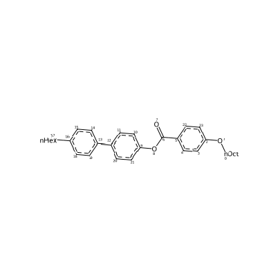 CCCCCCCCOc1ccc(C(=O)Oc2ccc(-c3ccc(CCCCCC)cc3)cc2)cc1